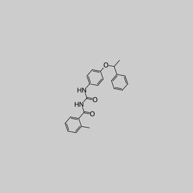 Cc1ccccc1C(=O)NC(=O)Nc1ccc(OC(C)c2ccccc2)cc1